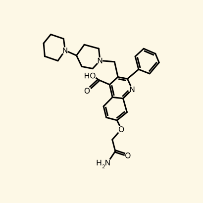 NC(=O)COc1ccc2c(C(=O)O)c(CN3CCC(N4CCCCC4)CC3)c(-c3ccccc3)nc2c1